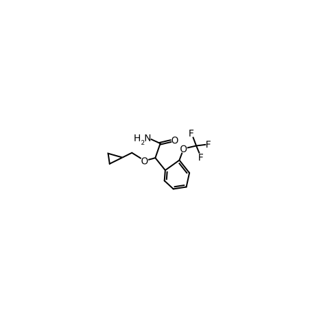 NC(=O)C(OCC1CC1)c1ccccc1OC(F)(F)F